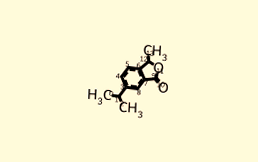 CC(C)c1ccc2c(c1)C(=O)OC2C